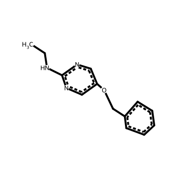 CCNc1ncc(OCc2ccccc2)cn1